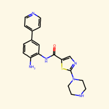 Nc1ccc(-c2ccncc2)cc1NC(=O)c1cnc(N2CCNCC2)s1